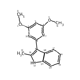 COc1cc(OC)nc(-c2c(C)[nH]c3ccccc23)n1